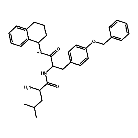 CC(C)CC(N)C(=O)NC(Cc1ccc(OCc2ccccc2)cc1)C(=O)NC1CCCc2ccccc21